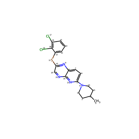 CC1CCN(c2ccc3nc(Sc4cccc(Cl)c4Cl)cnc3n2)CC1